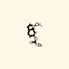 Cn1ccc2ccc(OC(=O)C(C)(C)C)cc21